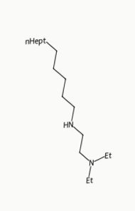 CCCCCCCCCCCCNCCN(CC)CC